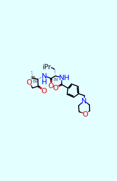 CC(C)C[C@H](NC(=O)c1ccc(CN2CCOCC2)cc1)C(=O)N[C@@H]1C(=O)CO[C@@H]1C